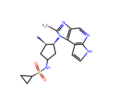 O=S(=O)(NC1C[C@@H](I)[C@@H](n2c(C(F)(F)F)nc3cnc4[nH]ccc4c32)C1)C1CC1